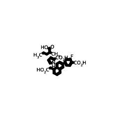 CCCC(C)C(=O)O.O=C(O)Cc1cccc2ccccc12.O=C(O)c1ccc[nH]1.O=C(O)c1ccccc1F